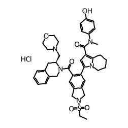 CCS(=O)(=O)N1Cc2cc(C(=O)N3Cc4ccccc4C[C@H]3CN3CCOCC3)c(-c3cc(C(=O)N(C)c4ccc(O)cc4)c4n3CCCC4)cc2C1.Cl